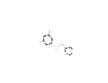 Bc1cc(N(Cc2cnc[nH]2)C(C)C)cc(C(F)(F)F)c1